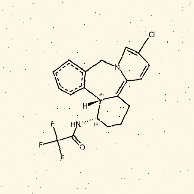 O=C(N[C@H]1CCCC2=C3C=CC(Cl)=CN3Cc3ccccc3[C@H]21)C(F)(F)F